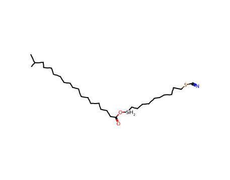 CC(C)CCCCCCCCCCCCCCCCC(=O)O[SiH2]CCCCCCCCCCSC#N